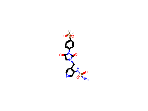 NS(=O)(=O)Nc1cnccc1CN1CC(=O)N(c2ccc(S(=O)(=O)C(F)(F)F)cc2)C1=O